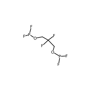 FP(F)OCC(F)(F)COP(F)F